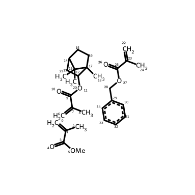 C=C(C)C(=O)OC.C=C(C)C(=O)OC1CC2CCC1(C)C2(C)C.C=C(C)C(=O)OCc1ccccc1